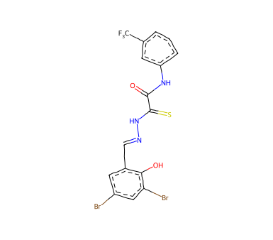 O=C(Nc1cccc(C(F)(F)F)c1)C(=S)N/N=C/c1cc(Br)cc(Br)c1O